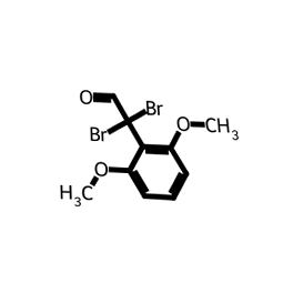 COc1cccc(OC)c1C(Br)(Br)C=O